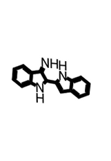 N=C1c2ccccc2NC1c1cc2ccccc2[nH]1